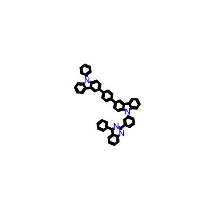 c1ccc(-c2nc(-c3cccc(-n4c5ccccc5c5cc(-c6ccc(-c7ccc8c(c7)c7ccccc7n8-c7ccccc7)cc6)ccc54)c3)nc3ccccc23)cc1